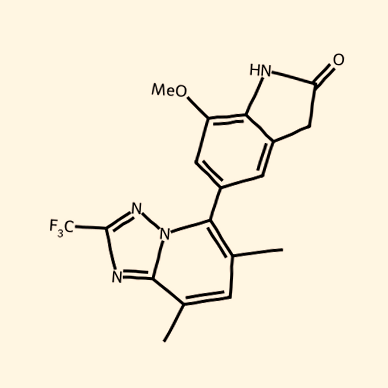 COc1cc(-c2c(C)cc(C)c3nc(C(F)(F)F)nn23)cc2c1NC(=O)C2